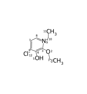 CCOc1c(O)ccc[n+]1CC.[Cl-]